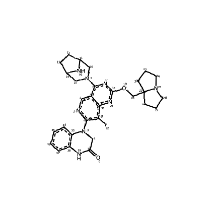 O=C1CN(c2ncc3c(N4CC5CCC(C4)N5)nc(OCC45CCCN4CCC5)nc3c2F)c2ccccc2N1